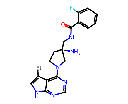 CCc1c[nH]c2ncnc(N3CC[C@](N)(CNC(=O)c4ccccc4F)C3)c12